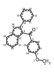 COc1ccc(C(=O)c2c(-c3ccccc3)sc3ccccc23)cc1